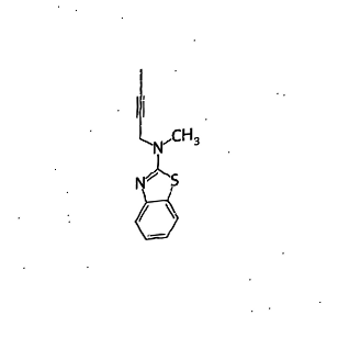 CN(CC#CI)c1nc2ccccc2s1